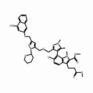 COC(=O)CCc1c(C(=O)OC)n(C)c2c(-c3c(CSCc4cc(CSc5cc(O)c6ccccc6c5)nn4C4CCCCO4)nn(C)c3C)c(Cl)ccc12